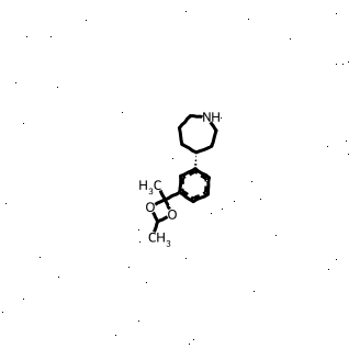 CC1OC(C)(c2cccc([C@@H]3CCCNCC3)c2)O1